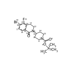 CC(C)(C)OC(=O)N1CCC(N2CCc3c(ccc(Br)c3F)C2=O)CC1